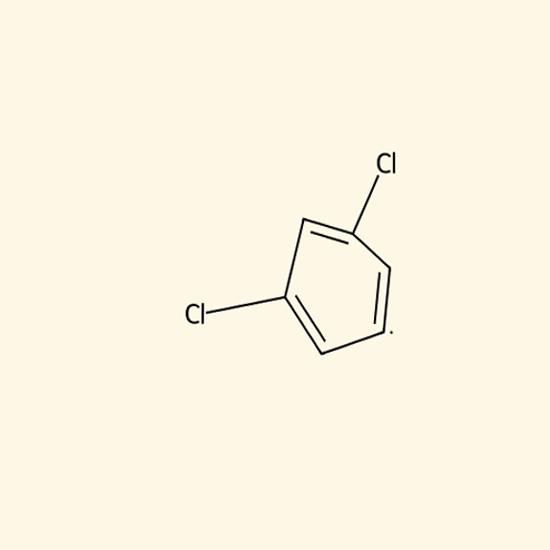 Clc1c[c]cc(Cl)c1